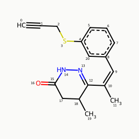 C#CCSc1cccc(C=C(C)C2=NNC(=O)CC2C)c1